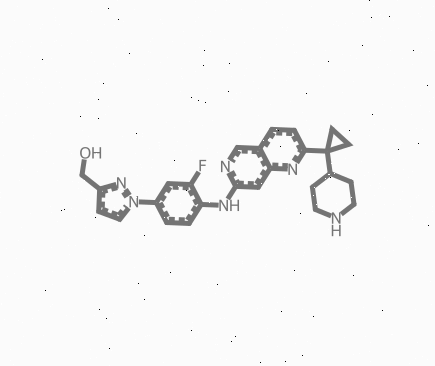 OCc1ccn(-c2ccc(Nc3cc4nc(C5(C6CCNCC6)CC5)ccc4cn3)c(F)c2)n1